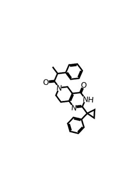 CC(C(=O)N1CCc2nc(C3(c4ccccc4)CC3)[nH]c(=O)c2C1)c1ccccc1